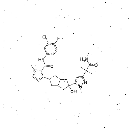 Cn1cnc(C2CC3CC(O)(c4cc(C(C)(C)C(N)=O)nn4C)CC3C2)c1C(=O)Nc1ccc(F)c(Cl)c1